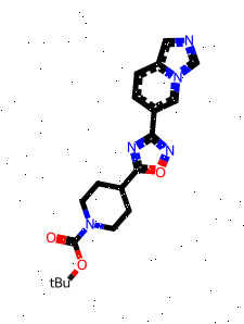 CC(C)(C)OC(=O)N1CCC(c2nc(-c3ccc4cncn4c3)no2)CC1